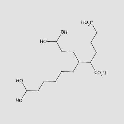 O=C(O)CCCC(C(=O)O)C(CCCCCC(O)O)CCC(O)O